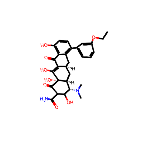 CCOc1cccc(-c2ccc(O)c3c2C[C@H]2C[C@H]4[C@H](N(C)C)C(O)C(C(N)=O)C(=O)[C@@]4(O)C(O)=C2C3=O)c1